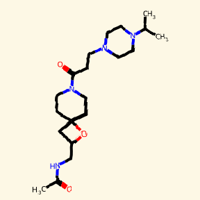 CC(=O)NCC1CC2(CCN(C(=O)CCN3CCN(C(C)C)CC3)CC2)O1